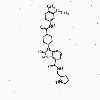 COc1cc(NC(=O)C2CCC(n3c(=O)[nH]c4c(C(=O)NCC5CCCN5)cccc43)CC2)ccc1C